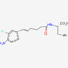 CC(C)C[C@H](NC(=O)CCC/C=C/c1ccc(N)c(F)c1)C(=O)O